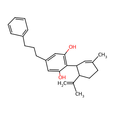 C=C(C)C1CCC(C)=CC1c1c(O)cc(CCCc2ccccc2)cc1O